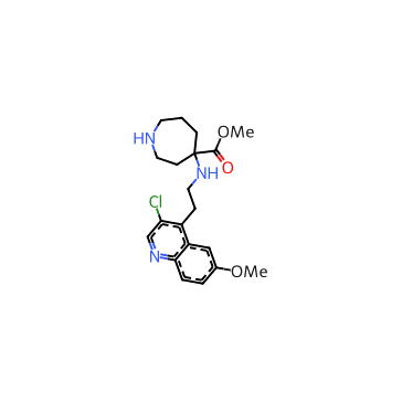 COC(=O)C1(NCCc2c(Cl)cnc3ccc(OC)cc23)CCCNCC1